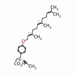 CC#C[C@H](CC(=O)O)c1ccc(OC/C=C(\C)CC/C=C(\C)CCC=C(C)C)cc1